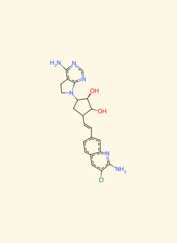 Nc1nc2cc(/C=C/C3CC(N4CCc5c(N)ncnc54)[C@@H](O)C3O)ccc2cc1Cl